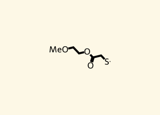 COCCOC(=O)C[S]